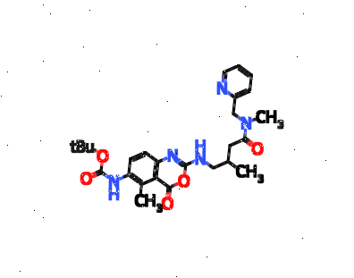 Cc1c(NC(=O)OC(C)(C)C)ccc2nc(NCC(C)CC(=O)N(C)Cc3ccccn3)oc(=O)c12